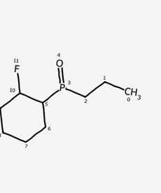 CCC[P](=O)C1CCCCC1F